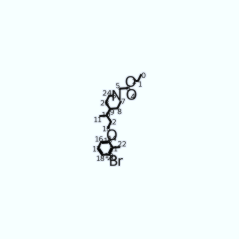 CCOC(=O)CN1CCC(C(C)CCOc2cccc(Br)c2C)CC1